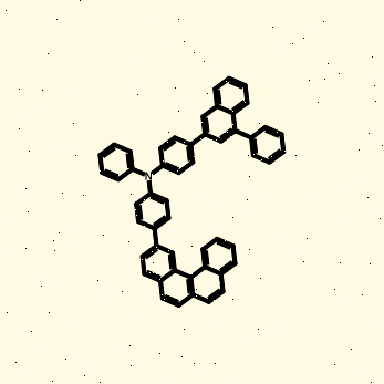 c1ccc(-c2cc(-c3ccc(N(c4ccccc4)c4ccc(-c5ccc6ccc7ccc8ccccc8c7c6c5)cc4)cc3)cc3ccccc23)cc1